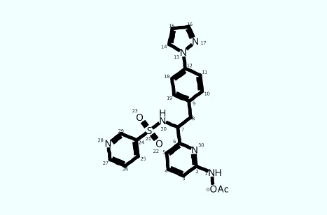 CC(=O)ONc1cccc(C(Cc2ccc(-n3cccn3)cc2)NS(=O)(=O)c2cccnc2)n1